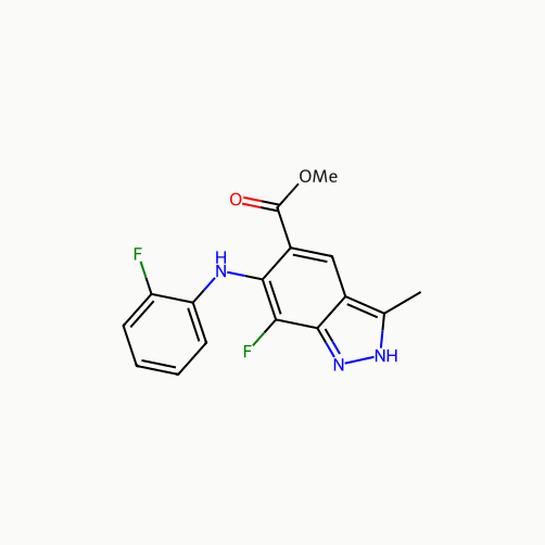 COC(=O)c1cc2c(C)[nH]nc2c(F)c1Nc1ccccc1F